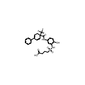 O=C(O)CCCS(=O)(=O)Nc1cc(NC(=O)C2(C(F)(F)F)C=CC(c3ccccc3)=CC2)ccc1O